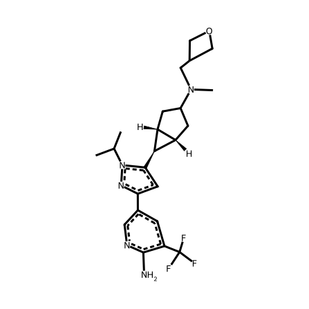 CC(C)n1nc(-c2cnc(N)c(C(F)(F)F)c2)cc1[C@H]1[C@@H]2CC(N(C)CC3COC3)C[C@@H]21